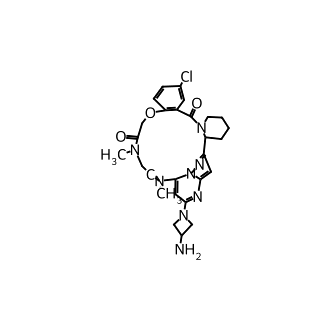 CN1CCN(C)c2cc(N3CC(N)C3)nc3cc(nn23)C2CCCCN2C(=O)c2cc(Cl)ccc2OCC1=O